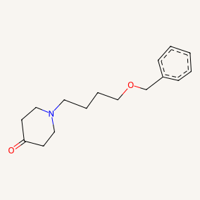 O=C1CCN(CCCCOCc2ccccc2)CC1